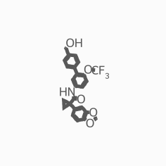 O=C(Nc1ccc(OC(F)(F)F)c(-c2ccc(CO)cc2)c1)C1(c2ccc3c(c2)OCO3)CC1